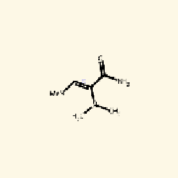 CN/C=C(/C(N)=O)N(C)C